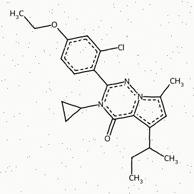 CCOc1ccc(-c2nn3c(C)cc(C(C)CC)c3c(=O)n2C2CC2)c(Cl)c1